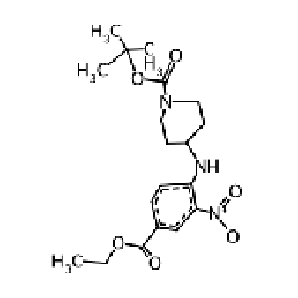 CCOC(=O)c1ccc(NC2CCN(C(=O)OC(C)(C)C)CC2)c([N+](=O)[O-])c1